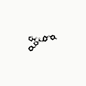 O=C(Nc1ccc(Oc2ccc(F)cc2)cc1)[C@@H]1C[C@@H](Cc2ccccc2)CN1C(=O)C1CCCO1